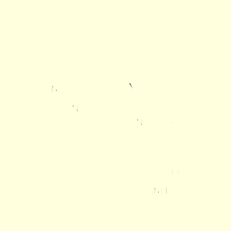 NC(=O)c1cccc(N2C[C@@H](c3ccc(Cl)c(Oc4cncnc4)c3)CC2=O)c1